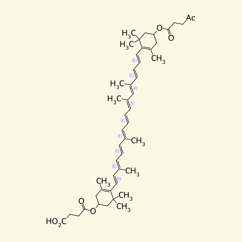 CC(=O)CCC(=O)OC1CC(C)=C(/C=C/C=C/C(C)=C/C(C)=C/C=C/C=C(C)/C=C/C=C(C)/C=C/C2=C(C)CC(OC(=O)CCC(=O)O)CC2(C)C)C(C)(C)C1